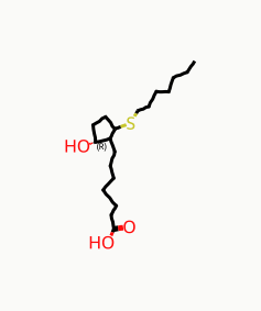 CCCCCCCSC1CC[C@@H](O)C1CCCCCCC(=O)O